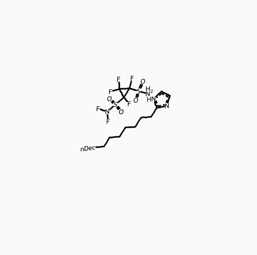 CCCCCCCCCCCCCCCCCc1ncc[nH]1.NS(=O)(=O)C1(F)C(F)(F)C1(F)S(=O)(=O)N(F)F